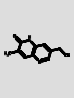 Cc1cc2ncc(CC#N)cc2[nH]c1=O